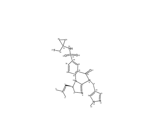 CC(C)=C[C@@H]1CN=C2N(Cc3cnn(C)c3)C(=O)c3cc(S(=O)(=O)NC4(CF)CC4)ccc3N21